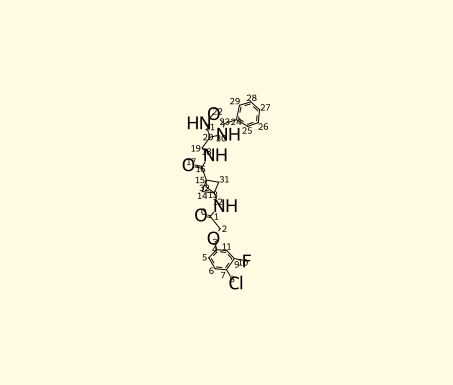 O=C(COc1ccc(Cl)c(F)c1)NC12CC(C(=O)NCC3NOC(c4ccccc4)N3)(C1)C2